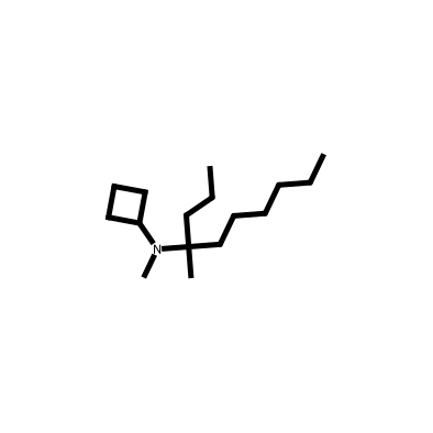 CCCCCCC(C)(CCC)N(C)C1CCC1